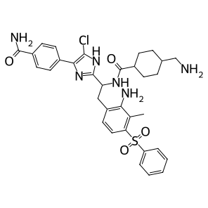 Cc1c(S(=O)(=O)c2ccccc2)ccc(CC(NC(=O)C2CCC(CN)CC2)c2nc(-c3ccc(C(N)=O)cc3)c(Cl)[nH]2)c1N